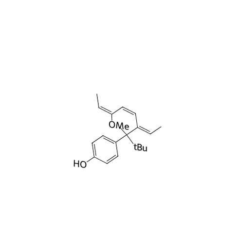 C\C=C(/C=C\C(=C/C)C(C)(c1ccc(O)cc1)C(C)(C)C)OC